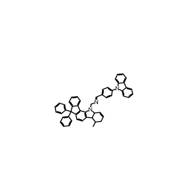 CC1CC=CC2C1c1ccc3c(c1N2C/N=C/c1ccc(-n2c4ccccc4c4ccccc42)cc1)-c1ccccc1C3(c1ccccc1)c1ccccc1